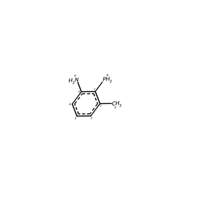 Cc1cccc(N)c1P